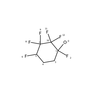 [O]C1(F)CCC(F)C(F)(F)C1(F)F